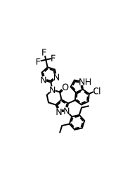 CCc1cccc(CC)c1-n1nc2c(c1-c1ccc(Cl)c3[nH]ccc13)C(=O)N(c1ncc(C(F)(F)F)cn1)CC2